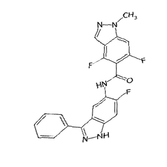 Cn1ncc2c(F)c(C(=O)Nc3cc4c(-c5ccccc5)n[nH]c4cc3F)c(F)cc21